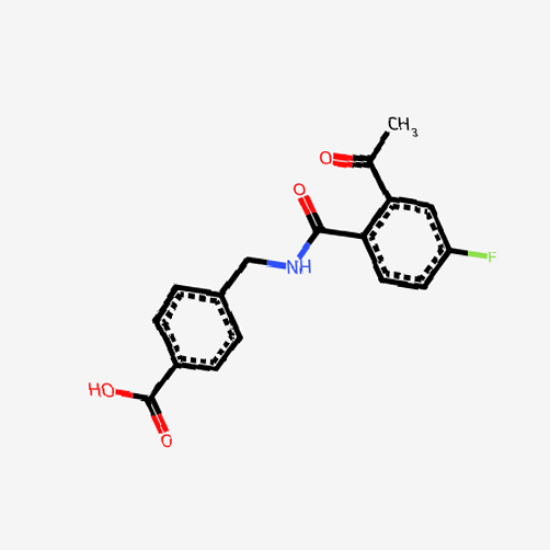 CC(=O)c1cc(F)ccc1C(=O)NCc1ccc(C(=O)O)cc1